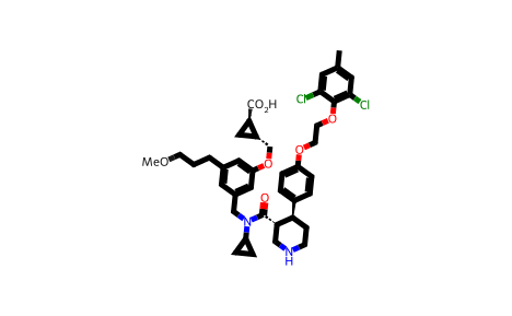 COCCCc1cc(CN(C(=O)[C@H]2CNCC[C@@H]2c2ccc(OCCOc3c(Cl)cc(C)cc3Cl)cc2)C2CC2)cc(OC[C@@H]2C[C@H]2C(=O)O)c1